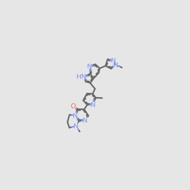 Cc1nc(-c2cnc3n(c2=O)CCCN3C)ccc1Cc1c[nH]c2ncc(-c3cnn(C)c3)cc12